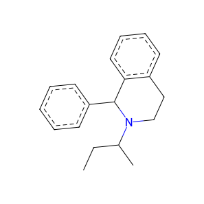 CCC(C)N1CCc2ccccc2C1c1ccccc1